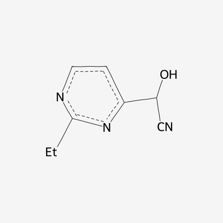 CCc1nccc(C(O)C#N)n1